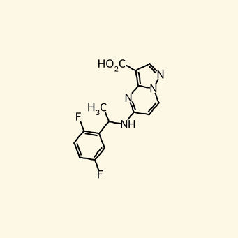 CC(Nc1ccn2ncc(C(=O)O)c2n1)c1cc(F)ccc1F